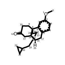 COc1ccc2c(c1)C13CCC(=O)C[C@@]1(O)[C@@H](C2)N(CC1CC1)CC3